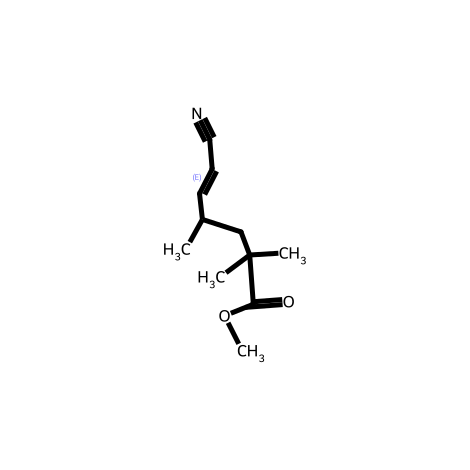 COC(=O)C(C)(C)CC(C)/C=C/C#N